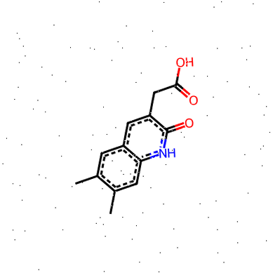 Cc1cc2cc(CC(=O)O)c(=O)[nH]c2cc1C